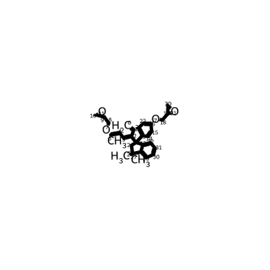 C=C/C(=C\C=C(/C)OCC1CO1)C1(c2ccc(OCC3CO3)cc2)CC(C)(C)c2ccccc21